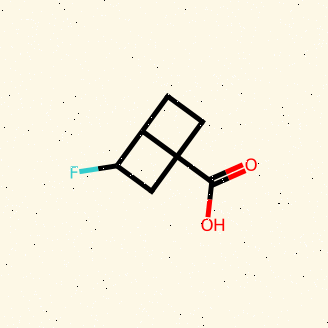 O=C(O)C12CCC1C(F)C2